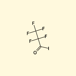 O=C(I)C(F)(F)C(F)(F)F